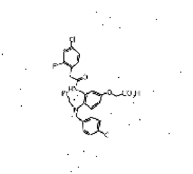 CC(C)CN(Cc1ccc(Cl)cc1)c1ccc(OCC(=O)O)cc1NC(=O)Cc1ccc(Cl)cc1F